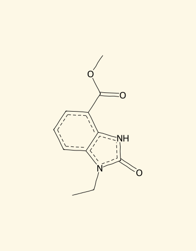 CCn1c(=O)[nH]c2c(C(=O)OC)cccc21